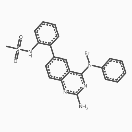 CS(=O)(=O)Nc1ccccc1-c1ccc2nc(N)nc(N(Br)c3ccccc3)c2c1